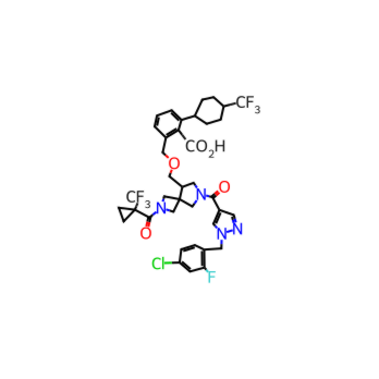 O=C(O)c1c(COCC2CN(C(=O)c3cnn(Cc4ccc(Cl)cc4F)c3)CC23CN(C(=O)C2(C(F)(F)F)CC2)C3)cccc1C1CCC(C(F)(F)F)CC1